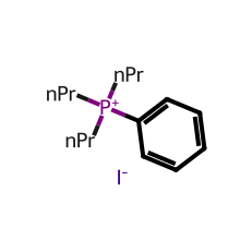 CCC[P+](CCC)(CCC)c1ccccc1.[I-]